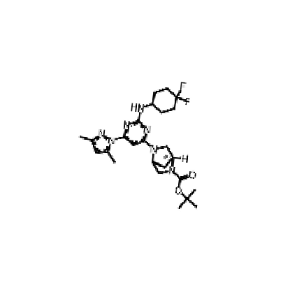 Cc1cc(C)n(-c2cc(N3C[C@H]4CC3CN4C(=O)OC(C)(C)C)nc(NC3CCC(F)(F)CC3)n2)n1